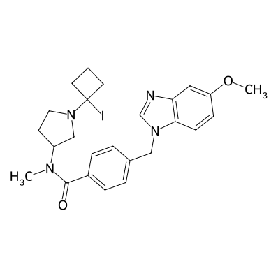 COc1ccc2c(c1)ncn2Cc1ccc(C(=O)N(C)C2CCN(C3(I)CCC3)C2)cc1